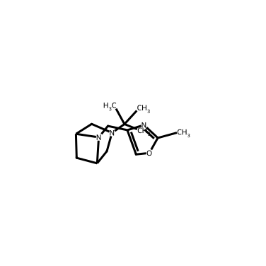 Cc1nc(CN2C3CC2CN(C(C)(C)C)C3)co1